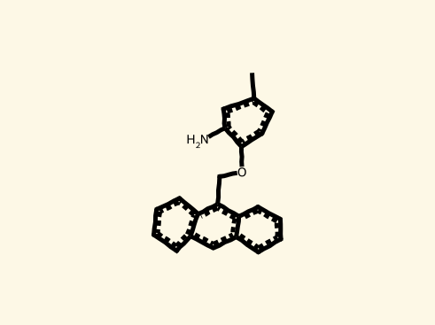 Cc1ccc(OCc2c3ccccc3cc3ccccc23)c(N)c1